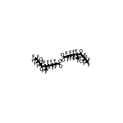 O=C(OOC(=O)C(F)(F)C(F)(F)C(F)(F)C(F)(C(=O)C(F)(F)C(F)(Cl)C(F)(F)F)C(F)(F)F)C(F)(F)C(F)(F)C(F)(F)C(F)(C(=O)C(F)(F)C(F)(Cl)C(F)(F)F)C(F)(F)F